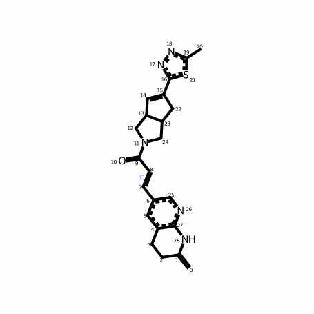 C=C1CCc2cc(/C=C/C(=O)N3CC4C=C(c5nnc(C)s5)CC4C3)cnc2N1